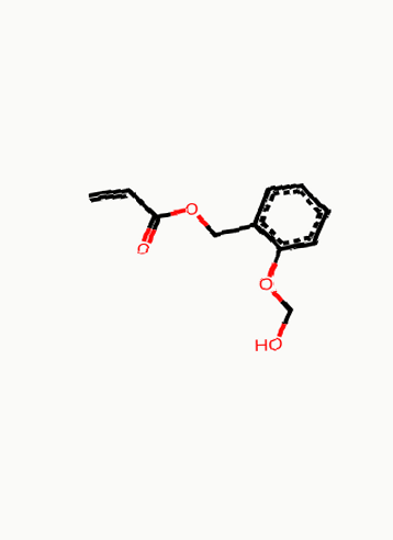 C=CC(=O)OCc1ccccc1OCO